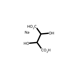 O=C(O)C(O)C(O)C(=O)O.[Na]